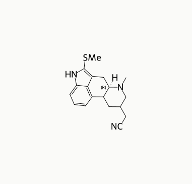 CSc1[nH]c2cccc3c2c1C[C@@H]1C3CC(CC#N)CN1C